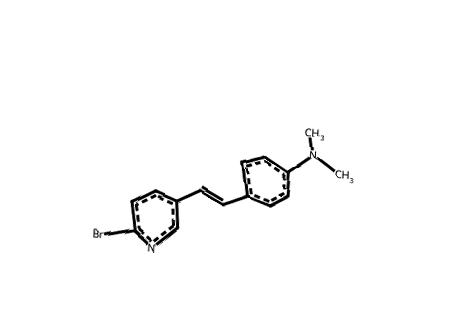 CN(C)c1ccc(C=Cc2ccc(Br)nc2)cc1